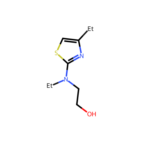 CCc1csc(N(CC)CCO)n1